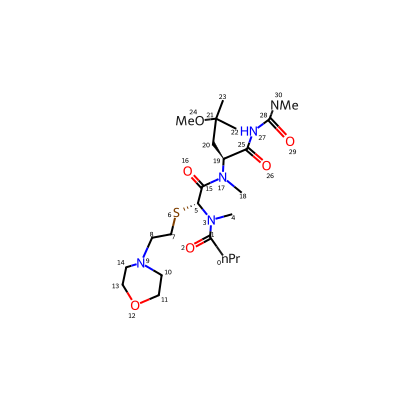 CCCC(=O)N(C)[C@H](SCCN1CCOCC1)C(=O)N(C)[C@@H](CC(C)(C)OC)C(=O)NC(=O)NC